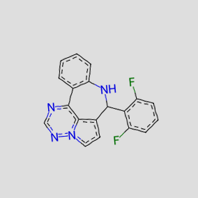 Fc1cccc(F)c1C1Nc2ccccc2-c2ncnn3ccc1c23